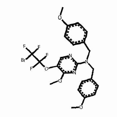 COc1ccc(CN(Cc2ccc(OC)cc2)c2ncc(OC(F)(F)C(F)(F)Br)c(OC)n2)cc1